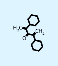 C=C(C(=O)C(=C)C1CCCCC1)C1CCCCC1